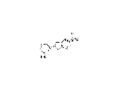 N[C@@H]1COC[C@H](N2Cc3ncc([SH](=O)=O)nc3C2)C1